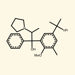 CCCC(C)(C)c1cc(C)c(OC)c(C(O)(c2ccccc2)C(C)N2CCCC2)c1